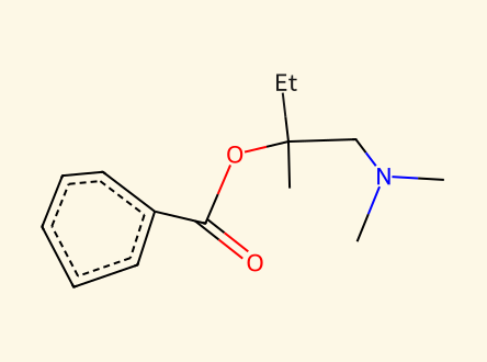 CCC(C)(CN(C)C)OC(=O)c1ccccc1